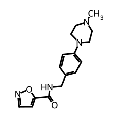 CN1CCN(c2ccc(CNC(=O)c3ccno3)cc2)CC1